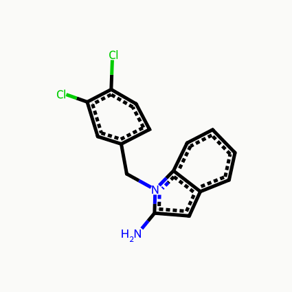 Nc1cc2ccccc2n1Cc1ccc(Cl)c(Cl)c1